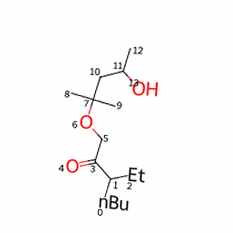 CCCCC(CC)C(=O)COC(C)(C)CC(C)O